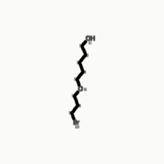 OCCCCCOCCCBr